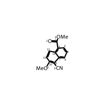 COC(=O)c1cccc2c(C#N)c(OC)ccc12